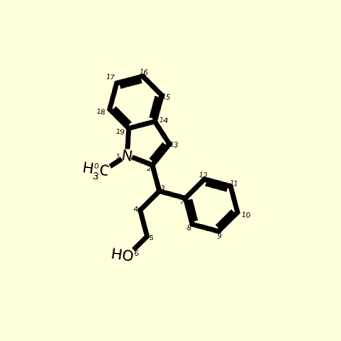 Cn1c(C(CCO)c2ccccc2)cc2ccccc21